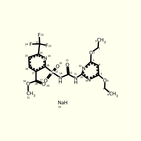 CCOc1cc(OCC)nc(NC(=O)NS(=O)(=O)c2nc(C(F)(F)F)ccc2C(=O)OC)n1.[NaH]